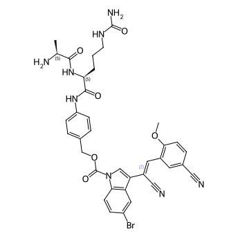 COc1ccc(C#N)cc1/C=C(\C#N)c1cn(C(=O)OCc2ccc(NC(=O)[C@H](CCCNC(N)=O)NC(=O)[C@H](C)N)cc2)c2ccc(Br)cc12